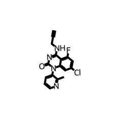 C#CCNc1nc(=O)n(-c2cccnc2C)c2cc(Cl)cc(F)c12